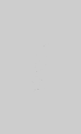 CCCCCCCC[C@H]1CC[C@H](C2C=CC(c3ccc(CCCCC)c(F)c3F)=CC2)CC1